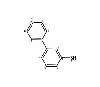 Sc1cccc(-c2ccncc2)c1